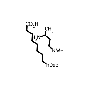 CCCCCCCCCCCCCCCCCC(=O)O.CNCCC(C)N